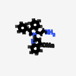 COc1cc(N(CCCN)CC(c2ccccc2)c2ccccc2)nc2ccccc12